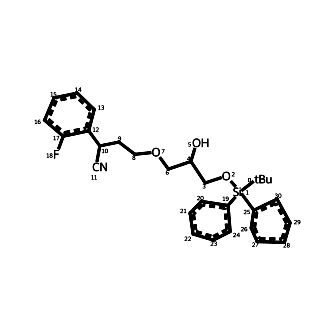 CC(C)(C)[Si](OCC(O)COCCC(C#N)c1ccccc1F)(c1ccccc1)c1ccccc1